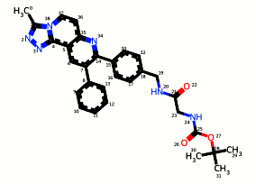 Cc1nnc2c3cc(-c4ccccc4)c(-c4ccc(CNC(=O)CNC(=O)OC(C)(C)C)cc4)nc3ccn12